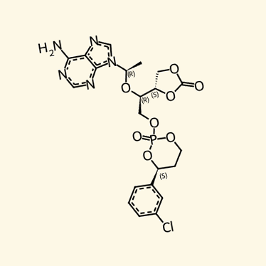 C[C@@H](O[C@H](COP1(=O)OCC[C@@H](c2cccc(Cl)c2)O1)[C@@H]1COC(=O)O1)n1cnc2c(N)ncnc21